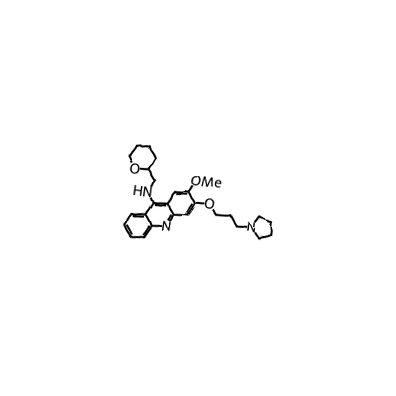 COc1cc2c(NCC3CCCCO3)c3ccccc3nc2cc1OCCCN1CCCC1